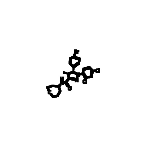 C[C@@H]1C(C(=O)NC2CCCCCC2)=NN(c2ccc(Cl)cc2Cl)[C@@H]1c1ccc(Br)cc1